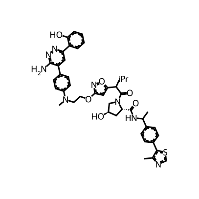 Cc1ncsc1-c1ccc(C(C)NC(=O)[C@@H]2C[C@@H](O)CN2C(=O)C(c2cc(OCCN(C)c3ccc(-c4cc(-c5ccccc5O)nnc4N)cc3)no2)C(C)C)cc1